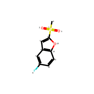 CS(=O)(=O)c1cc2cc(F)ccc2o1